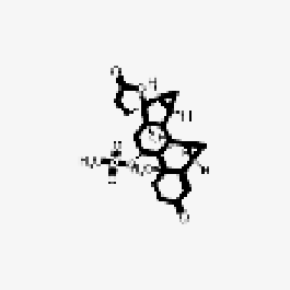 C[C@]12CCC(=O)C=C1[C@@H]1C[C@@H]1C1C2[C@H](OS(C)(=O)=O)C[C@@]2(C)C1[C@@H]1C[C@@H]1[C@@]21CCC(=O)O1